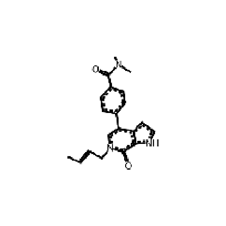 CC=CCn1cc(-c2ccc(C(=O)N(C)C)cc2)c2cc[nH]c2c1=O